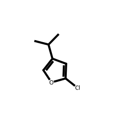 CC(C)c1coc(Cl)c1